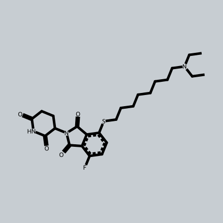 CCN(CC)CCCCCCCCSc1ccc(F)c2c1C(=O)N(C1CCC(=O)NC1=O)C2=O